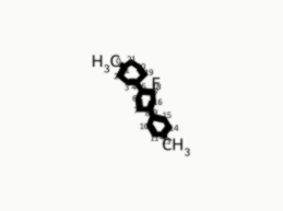 CC1=CC=C(c2ccc(-c3ccc(C)cc3)cc2F)C=CC1